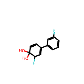 OC1(O)C=CC(c2cccc(F)c2)=CC1F